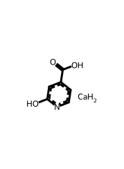 O=C(O)c1ccnc(O)c1.[CaH2]